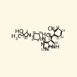 CC1(O)CN([C@H]2CC[C@@H](Nc3ncnc4[nH]cc(C(=O)c5ccccc5Cl)c34)CC2)C1